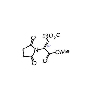 CCOC(=O)/C=C(/C(=O)OC)N1C(=O)CCC1=O